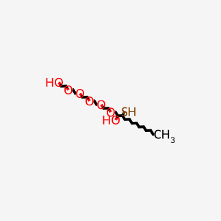 CCCCCCCCCCC(S)C(O)COCCOCCOCCOCCOCCO